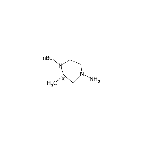 CCCCN1CCN(N)C[C@@H]1C